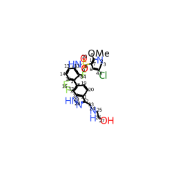 COc1ncc(Cl)cc1S(=O)(=O)Nc1ccc(F)c(-c2ccc3c(CNCCO)n[nH]c3c2F)c1F